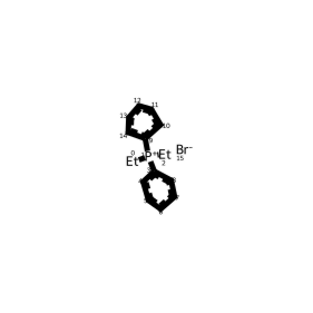 CC[P+](CC)(c1ccccc1)c1ccccc1.[Br-]